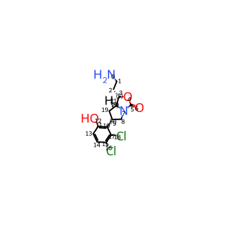 NCC[C@@H]1OC(=O)N2C[C@@H](c3c(O)ccc(Cl)c3Cl)C[C@@H]12